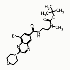 CN(CCNC(=O)c1cc(Br)c2nc(N3CCOCC3)cnc2c1)C(=O)OC(C)(C)C